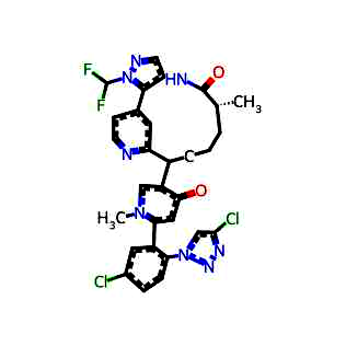 C[C@@H]1CCCC(c2cn(C)c(-c3cc(Cl)ccc3-n3cc(Cl)nn3)cc2=O)c2cc(ccn2)-c2c(cnn2C(F)F)NC1=O